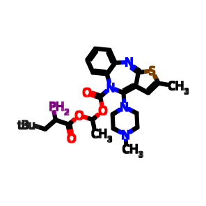 Cc1cc2c(s1)=Nc1ccccc1N(C(=O)OC(C)OC(=O)C(P)CC(C)(C)C)C=2N1CCN(C)CC1